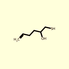 C=CCCC(O)CS